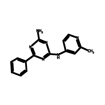 Cc1cc(Nc2nc(N)nc(-c3ccccc3)n2)ccn1